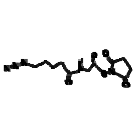 [N-]=[N+]=NCCCCC(=O)NCC(=O)ON1C(=O)CCC1=O